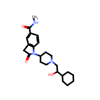 CNC(=O)c1ccc2c(c1)CC(=O)N2C1CCN(CC(O)C2CCCCC2)CC1